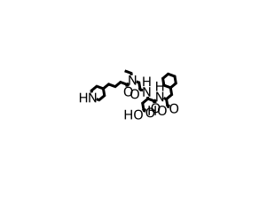 CCN(CC(=O)NC(CC(=O)O)C(=O)NC(CC1CCCCC1)C(=O)O)C(=O)CCCC1CCNCC1